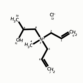 C=CC[N+](C)(CC=C)CC(C)O.[Cl-]